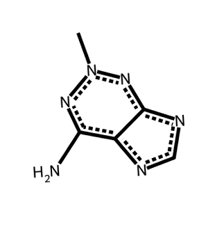 Cn1nc2ncnc-2c(N)n1